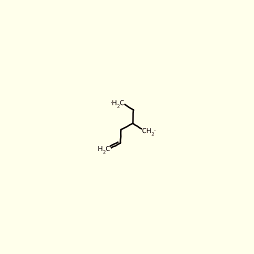 [CH2]CC([CH2])CC=C